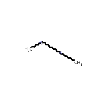 C=CCCC/C=B/CCCCCCCC/C=C/CCCCCCCC